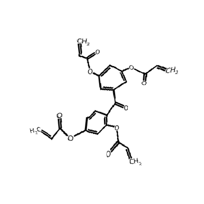 C=CC(=O)Oc1cc(OC(=O)C=C)cc(C(=O)c2ccc(OC(=O)C=C)cc2OC(=O)C=C)c1